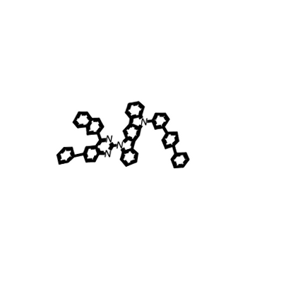 c1ccc(-c2ccc(-c3cccc(-n4c5ccccc5c5cc6c(cc54)c4ccccc4n6-c4nc(-c5ccc6ccccc6c5)c5cc(-c6ccccc6)ccc5n4)c3)cc2)cc1